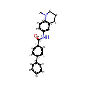 CN1CCCc2cc(NC(=O)c3ccc(-c4ccccc4)cc3)ccc21